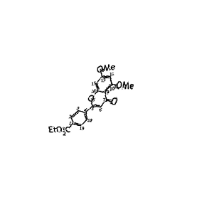 CCOC(=O)c1ccc(-c2cc(=O)c3c(OC)cc(OC)cc3o2)cc1